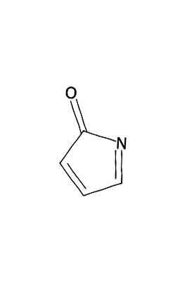 O=C1C=CC=N1